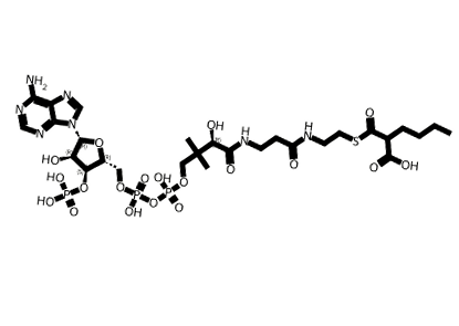 CCCCC(C(=O)O)C(=O)SCCNC(=O)CCNC(=O)[C@H](O)C(C)(C)COP(=O)(O)OP(=O)(O)OC[C@H]1O[C@@H](n2cnc3c(N)ncnc32)[C@H](O)[C@@H]1OP(=O)(O)O